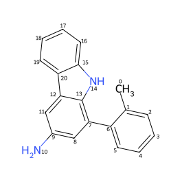 Cc1ccccc1-c1cc(N)cc2c1[nH]c1ccccc12